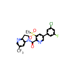 CCS(=O)(=O)c1cc(-c2cc(F)cc(Cl)c2)cnc1C(=O)N1CCc2ncc(C(F)(F)F)cc21